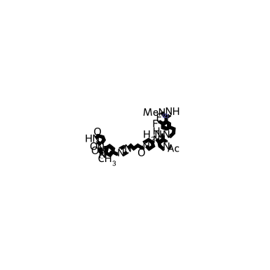 CN/C=C(\C=N)c1cc2c(cc1C(F)F)N(C(N)C1=C(NC3CCN(C(=O)CCCN4CCN(Cc5ccc6c(c5)n(C)c(=O)n6C5CCC(=O)NC5=O)CC4)CC3)CCN(C(C)=O)C1)CCC2